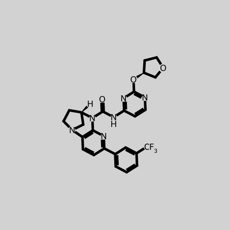 O=C(Nc1ccnc(O[C@H]2CCOC2)n1)N1c2nc(-c3cccc(C(F)(F)F)c3)ccc2N2CC[C@H]1C2